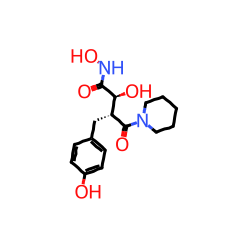 O=C(NO)[C@@H](O)[C@@H](Cc1ccc(O)cc1)C(=O)N1CCCCC1